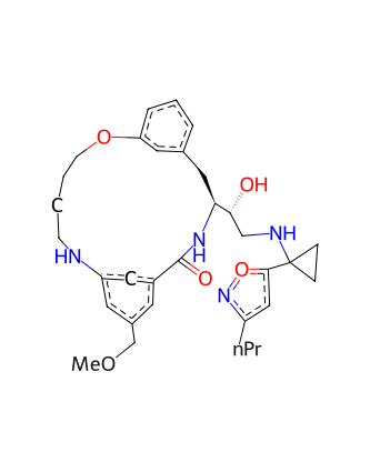 CCCc1cc(C2(NC[C@@H](O)[C@@H]3Cc4cccc(c4)OCCCCNc4cc(COC)cc(c4)C(=O)N3)CC2)on1